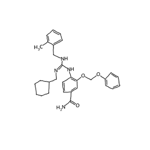 Cc1ccccc1CNC(=NCC1CCCCC1)Nc1ccc(C(N)=O)cc1OCOc1ccccc1